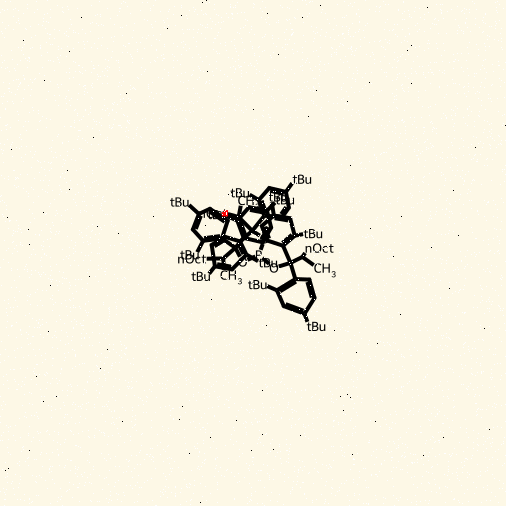 CCCCCCCCC(C)C(OP(OC(c1ccc(C(C)(C)C)cc1C(C)(C)C)(c1ccc(C(C)(C)C)cc1C(C)(C)C)C(C)CCCCCCCC)OC(c1ccc(C(C)(C)C)cc1C(C)(C)C)(c1ccc(C(C)(C)C)cc1C(C)(C)C)C(C)CCCCCCCC)(c1ccc(C(C)(C)C)cc1C(C)(C)C)c1ccc(C(C)(C)C)cc1C(C)(C)C